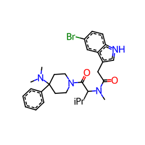 CC(C)C(C(=O)N1CCC(c2ccccc2)(N(C)C)CC1)N(C)C(=O)Cc1c[nH]c2ccc(Br)cc12